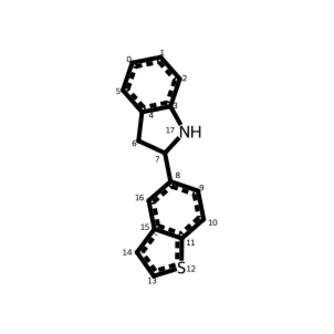 c1ccc2c(c1)CC(c1ccc3sccc3c1)N2